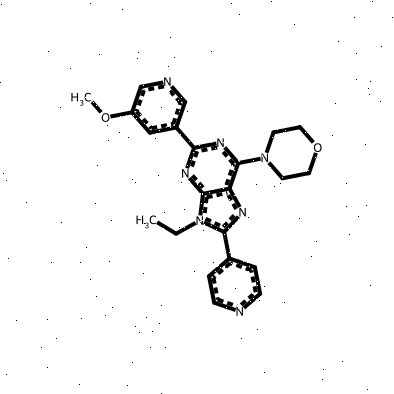 CCn1c(-c2ccncc2)nc2c(N3CCOCC3)nc(-c3cncc(OC)c3)nc21